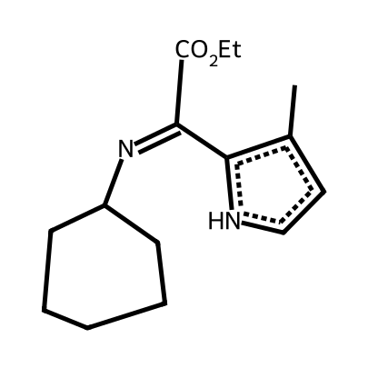 CCOC(=O)C(=NC1CCCCC1)c1[nH]ccc1C